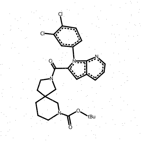 CC(C)(C)OC(=O)N1CCCC2(CCN(C(=O)c3cc4cccnc4n3-c3ccc(Cl)c(Cl)c3)C2)C1